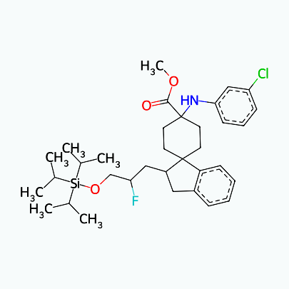 COC(=O)C1(Nc2cccc(Cl)c2)CCC2(CC1)c1ccccc1CC2CC(F)CO[Si](C(C)C)(C(C)C)C(C)C